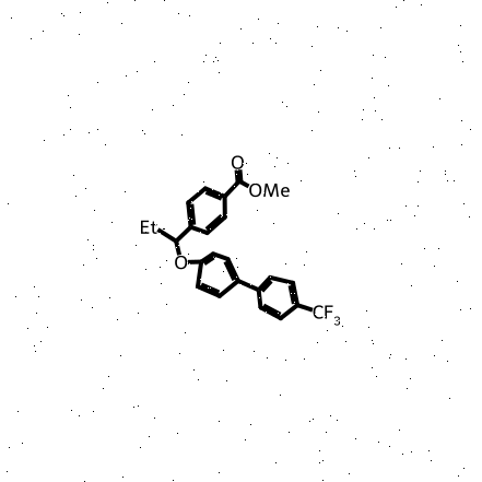 CCC(Oc1ccc(-c2ccc(C(F)(F)F)cc2)cc1)c1ccc(C(=O)OC)cc1